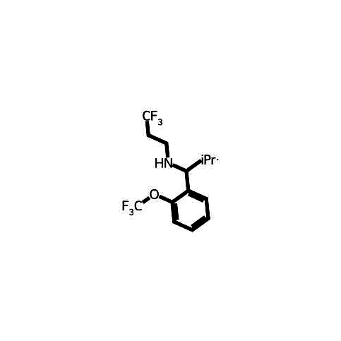 C[C](C)C(NCCC(F)(F)F)c1ccccc1OC(F)(F)F